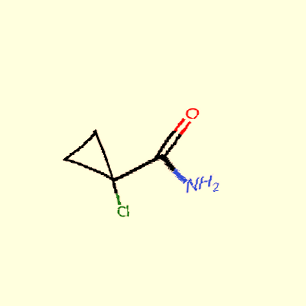 NC(=O)C1(Cl)CC1